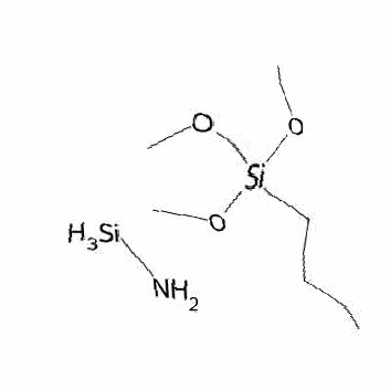 CCC[Si](OC)(OC)OC.N[SiH3]